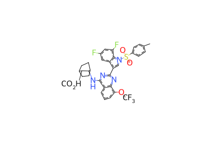 Cc1ccc(S(=O)(=O)n2cc(-c3nc(NC4C5CCC(CC5)C4C(=O)O)c4cccc(OC(F)(F)F)c4n3)c3cc(F)cc(F)c32)cc1